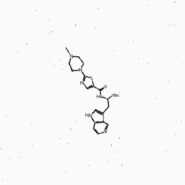 CCCCC(Cc1c[nH]c2ccncc12)NC(=O)c1cnc(N2CCN(C)CC2)s1